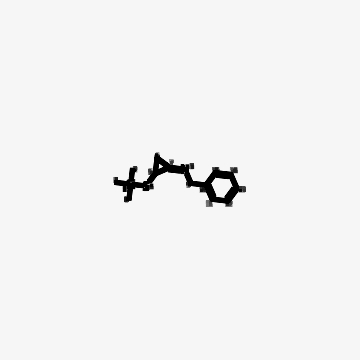 C[Si](C)(C)SC1C/C1=N/Cc1ccccc1